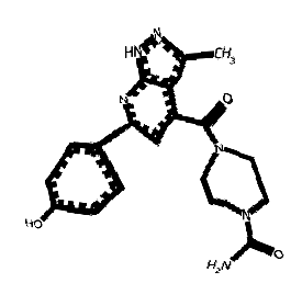 Cc1n[nH]c2nc(-c3ccc(O)cc3)cc(C(=O)N3CCN(C(N)=O)CC3)c12